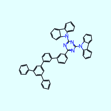 c1ccc(-c2cc(-c3ccccc3)cc(-c3cccc(-c4cccc(-c5nc(-n6c7ccccc7c7ccccc76)nc(-n6c7ccccc7c7ccccc76)n5)c4)c3)c2)cc1